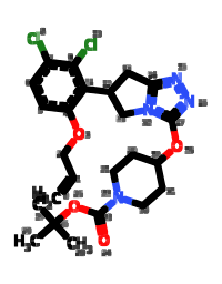 C=CCOc1ccc(Cl)c(Cl)c1C1Cc2nnc(OC3CCN(C(=O)OC(C)(C)C)CC3)n2C1